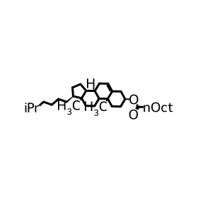 CCCCCCCCC(=O)O[C@H]1CC[C@@]2(C)C(=CC[C@H]3C2CC[C@@]2(C)C3CC[C@@H]2CCCCC(C)C)C1